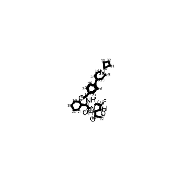 O=C(N[C@H](C(=O)N1C[C@H](F)[C@H]2OCC(=O)[C@H]21)C1CCCCC1)c1ccc(C2CCN(C3CCC3)CC2)cc1